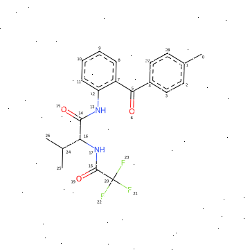 Cc1ccc(C(=O)c2ccccc2NC(=O)C(NC(=O)C(F)(F)F)C(C)C)cc1